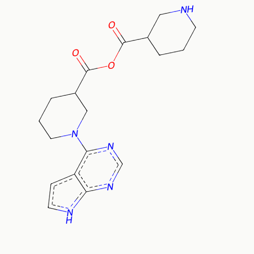 O=C(OC(=O)C1CCCN(c2ncnc3[nH]ccc23)C1)C1CCCNC1